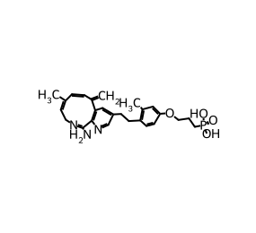 C=C1/C=C\C(C)=C/C/N=C(/N)c2ncc(CCc3ccc(OCCCP(=O)(O)O)cc3C)cc21